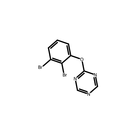 Brc1cccc(Oc2ncncn2)c1Br